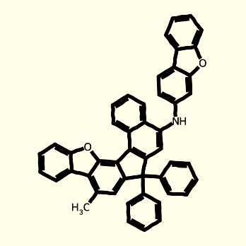 Cc1cc2c(c3oc4ccccc4c13)-c1c(cc(Nc3ccc4c(c3)oc3ccccc34)c3ccccc13)C2(c1ccccc1)c1ccccc1